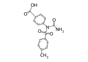 Cc1ccc(S(=O)(=O)N(C(N)=O)c2ccc(C(=O)O)cc2)cc1